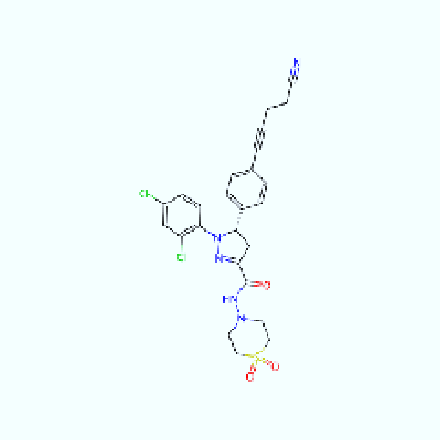 N#CCCC#Cc1ccc([C@@H]2CC(C(=O)NN3CCS(=O)(=O)CC3)=NN2c2ccc(Cl)cc2Cl)cc1